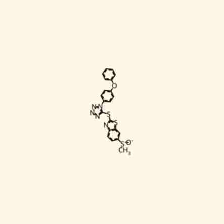 C[S+]([O-])c1ccc2nc(Sc3nnnn3-c3ccc(Oc4ccccc4)cc3)sc2c1